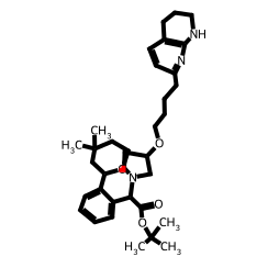 CC1(C)CCOC(c2ccccc2C(C(=O)OC(C)(C)C)N2CCC(OCCCCc3ccc4c(n3)NCCC4)C2)C1